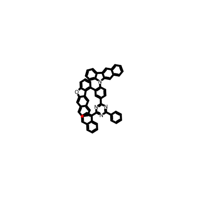 c1ccc(-c2nc(-c3ccc(-n4c5ccccc5c5cc6ccccc6cc54)c(-c4cccc5oc6cc7ccccc7cc6c45)c3)nc(-c3cccc4ccccc34)n2)cc1